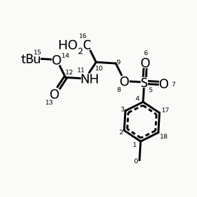 Cc1ccc(S(=O)(=O)OCC(NC(=O)OC(C)(C)C)C(=O)O)cc1